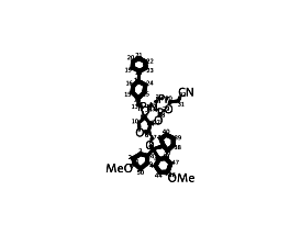 COc1ccc(C(OC[C@H]2OC[C@H](OCc3ccc(-c4ccccc4)cc3)[C@@H]2OP(OCCC#N)N(C(C)C)C(C)C)(c2ccccc2)c2ccc(OC)cc2)cc1